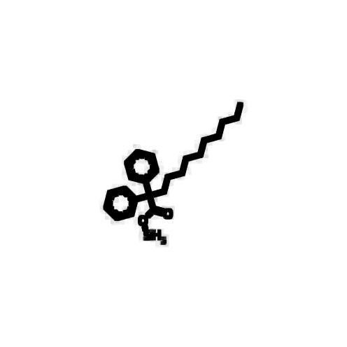 CCCCCCCCCCC(C(=O)O[SiH3])(c1ccccc1)c1ccccc1